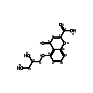 O=C(O)c1cc(=O)c2c(OCC(O)CO)cccc2o1